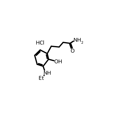 CCNc1cccc(CCCC(N)=O)c1O.Cl